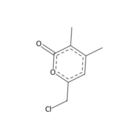 Cc1cc(CCl)oc(=O)c1C